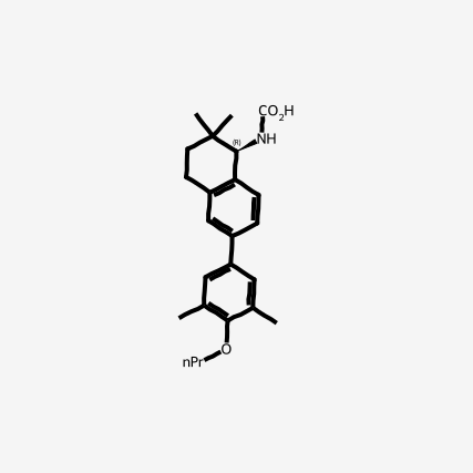 CCCOc1c(C)cc(-c2ccc3c(c2)CCC(C)(C)[C@H]3NC(=O)O)cc1C